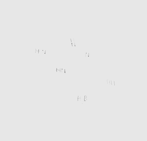 B=C(B)C1=NNC(N)N1